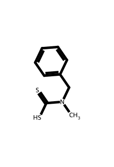 CN(Cc1ccccc1)C(=S)S